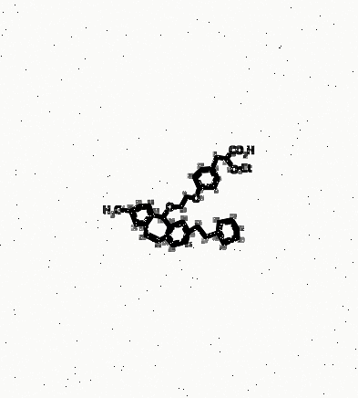 CCOC(Cc1ccc(OCCOC2c3ccc(C)cc3C=Cc3ccc(CCc4ccccc4)cc32)cc1)C(=O)O